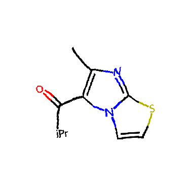 Cc1nc2sccn2c1C(=O)C(C)C